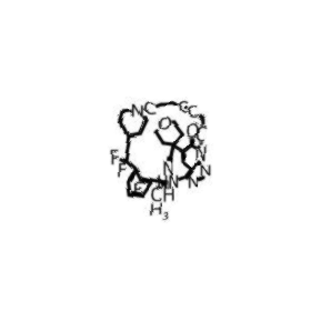 C[C@H]1Nc2ncnc3c2cc(C2(C#N)CCOCC2)c(=O)n3CCCCCCCN2CCC(CC2)C(F)(F)c2cccc1c2F